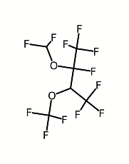 FC(F)OC(F)(C(OC(F)(F)F)C(F)(F)F)C(F)(F)F